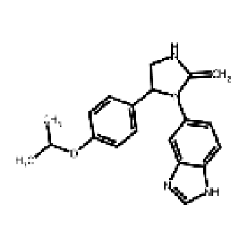 C=C1NCC(c2ccc(OC(C)C)cc2)N1c1ccc2[nH]cnc2c1